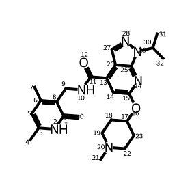 C=C1NC(C)=CC(C)=C1CNC(=O)c1cc(OC2CCN(C)CC2)nc2c1cnn2C(C)C